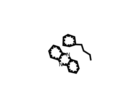 CCCCc1ccccc1.c1ccc2nc3ccccc3nc2c1